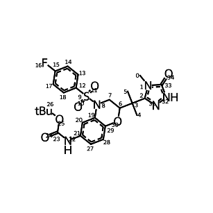 Cn1c(C(C)(C)C2CN(S(=O)(=O)c3ccc(F)cc3)c3cc(NC(=O)OC(C)(C)C)ccc3O2)n[nH]c1=O